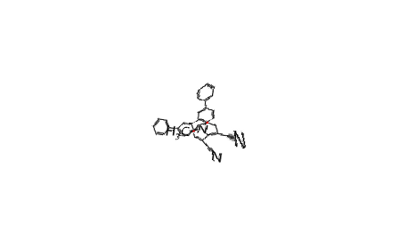 CC1=C/CC/C(C#N)=C(n2c3ccc(-c4ccccc4)cc3c3cc(-c4ccccc4)ccc32)/C(C#N)=C\1